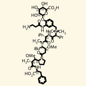 CC[C@H](C)[C@@H]([C@@H](CC(=O)N1CCC[C@H]1[C@H](OC)[C@@H](C)C(=O)N[C@@H](Cc1ccccc1)C(=O)O)OC)N(C)C(=O)[C@@H](NC(=O)[C@H](C(C)C)[N+](C)(C)Cc1ccc(O[C@@H]2O[C@H](C(=O)O)[C@@H](O)[C@H](O)[C@H]2O)c(NC(=O)CCN)c1)C(C)C